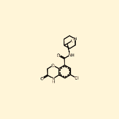 O=C1COc2c(cc(Cl)cc2C(=O)NC2CN3CCC2CC3)N1